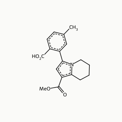 COC(=O)c1cc(-c2cc(C)ccc2C(=O)O)n2c1CCCC2